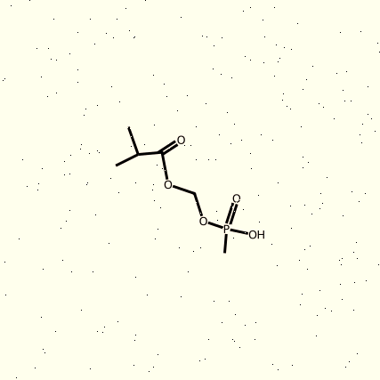 CC(C)C(=O)OCOP(C)(=O)O